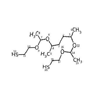 CC(CCC(C)OC(C)OCCS)OC(C)OCCS